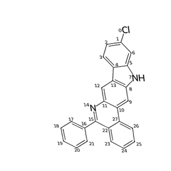 Clc1ccc2c(c1)[nH]c1cc3c(cc12)nc(-c1ccccc1)c1ccccc13